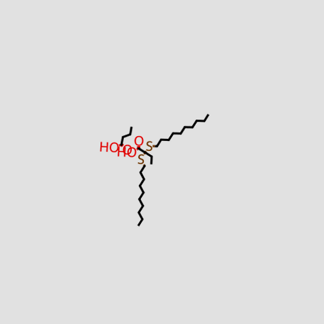 CCCC(=O)O.CCCCCCCCCCSC(CC)(SCCCCCCCCCC)C(=O)O